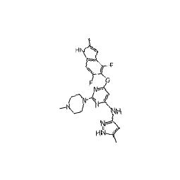 Cc1cc(Nc2cc(Oc3c(F)cc4[nH]c(C)cc4c3F)nc(N3CCN(C)CC3)n2)n[nH]1